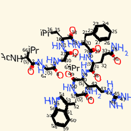 CC(=O)N[C@H](C(=O)N[C@@H](C)C(=O)N[C@H](C(=O)N[C@@H](CC(C)C)C(=O)N[C@@H](Cc1ccccc1)C(=O)N[C@@H](CCC(N)=O)C(=O)N[C@@H](CCCNC(=N)N)C(=O)N[C@@H](Cc1c[nH]c2ccccc12)C(N)=O)C(C)C)C(C)C